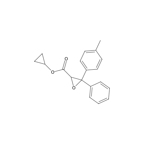 Cc1ccc(C2(c3ccccc3)OC2C(=O)OC2CC2)cc1